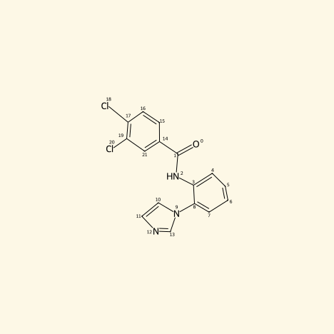 O=C(Nc1ccccc1-n1ccnc1)c1ccc(Cl)c(Cl)c1